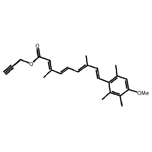 C#CCOC(=O)C=C(C)C=CC=C(C)C=Cc1c(C)cc(OC)c(C)c1C